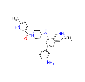 C=C/C=c1/cc(-c2cccc(N)c2)cc(NC2CCN(C(=O)C3=CC=C(C)NC3)CC2)/c1=C/N